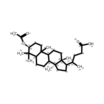 CC(=O)O[C@H]1CCC2(C)C3CC[C@]4(C)C(C(C)CCC(=O)O)CC[C@@]4(C)C3CCC2C1(C)C